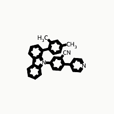 Cc1ccc(-c2cccc3c4ccccc4n(-c4ccc(-c5ccncc5)c(C#N)c4)c23)c(C)c1